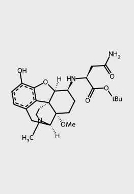 CO[C@@]12CC[C@H](N[C@@H](CC(N)=O)C(=O)OC(C)(C)C)[C@@H]3Oc4c(O)ccc5c4[C@@]31CCN(C)[C@@H]2C5